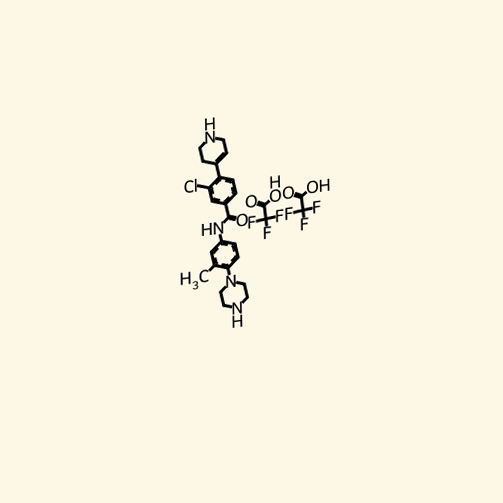 Cc1cc(NC(=O)c2ccc(C3=CCNCC3)c(Cl)c2)ccc1N1CCNCC1.O=C(O)C(F)(F)F.O=C(O)C(F)(F)F